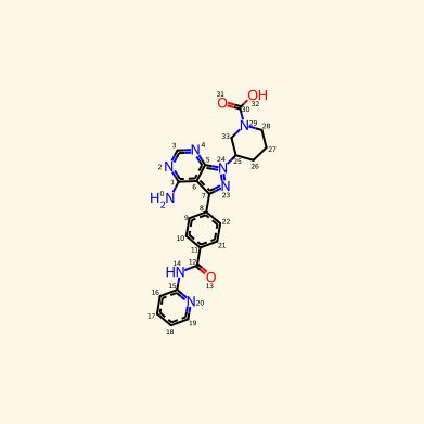 Nc1ncnc2c1c(-c1ccc(C(=O)Nc3ccccn3)cc1)nn2C1CCCN(C(=O)O)C1